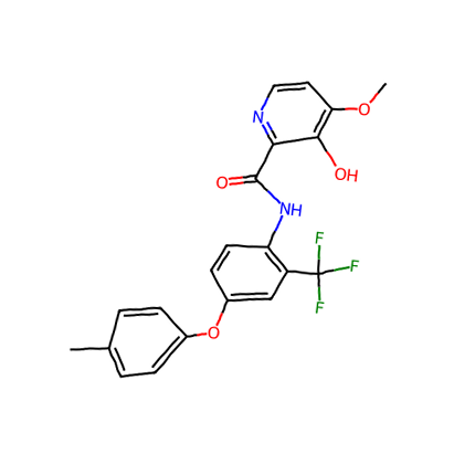 COc1ccnc(C(=O)Nc2ccc(Oc3ccc(C)cc3)cc2C(F)(F)F)c1O